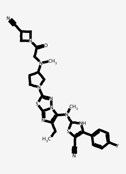 CCc1nc2sc(N3CCC(N(C)CC(=O)N4CC(C#N)C4)C3)nn2c1N(C)C1NC(c2ccc(F)cc2)=C(C#N)S1